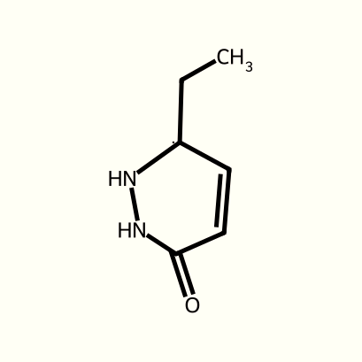 CC[C]1C=CC(=O)NN1